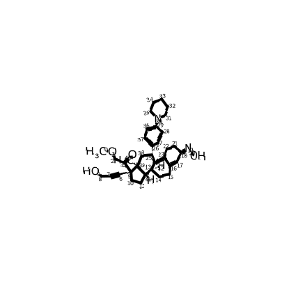 COCC(=O)[C@@]1(C#CCO)CC[C@H]2[C@@H]3CCC4=CC(=NO)CCC4=C3[C@@H](c3ccc(N4CCCCC4)cc3)C[C@@]21C